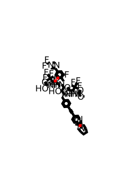 COC(=O)N[C@H](C(=O)N[C@@H](Cc1ccc(C#Cc2ccc(N3CC4CCC(C3)N4C3COC3)nc2)cc1)[C@@H](O)CN(Cc1c(F)cc(-c2cn(C(F)F)cn2)cc1F)NC(=O)[C@@H](NC(=O)O)C(C)(C)C(F)(F)F)C(C)(C)C(F)(F)F